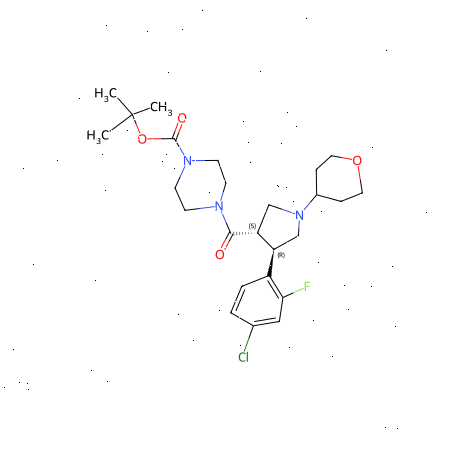 CC(C)(C)OC(=O)N1CCN(C(=O)[C@@H]2CN(C3CCOCC3)C[C@H]2c2ccc(Cl)cc2F)CC1